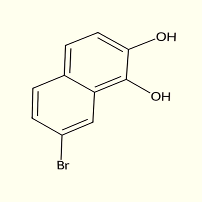 Oc1ccc2ccc(Br)cc2c1O